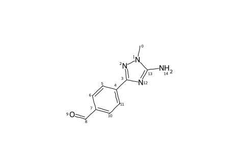 Cn1nc(-c2ccc(C=O)cc2)nc1N